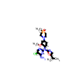 COc1cc(N2CCP(C)(=O)CC2)ccc1N(c1ncc(Cl)c(N)n1)c1ncc(C(C)C)o1